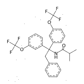 CC(C)C(=O)NC(Cc1ccccc1)(c1cccc(OC(F)(F)F)c1)c1cccc(OC(F)(F)F)c1